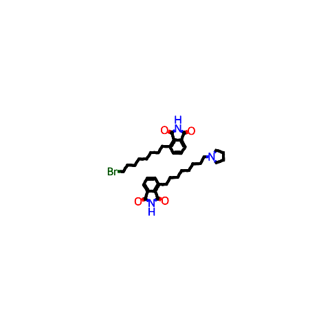 O=C1NC(=O)c2c(CCCCCCCCBr)cccc21.O=C1NC(=O)c2c(CCCCCCCCN3CCCC3)cccc21